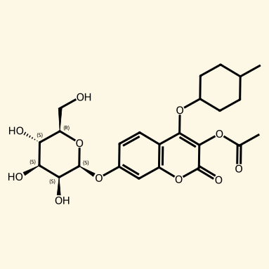 CC(=O)Oc1c(OC2CCC(C)CC2)c2ccc(O[C@@H]3O[C@H](CO)[C@@H](O)[C@H](O)[C@@H]3O)cc2oc1=O